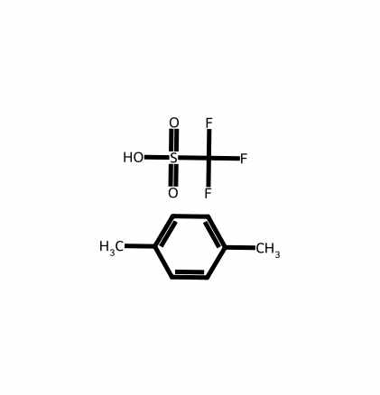 Cc1ccc(C)cc1.O=S(=O)(O)C(F)(F)F